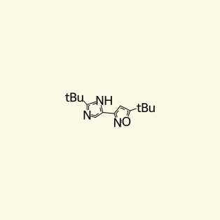 CC(C)(C)c1ncc(-c2cc(C(C)(C)C)on2)[nH]1